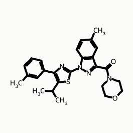 Cc1cccc(-c2nc(-n3nc(C(=O)N4CCOCC4)c4cc(C)ccc43)sc2C(C)C)c1